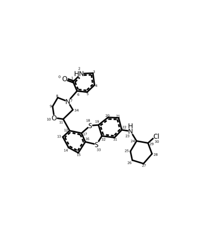 O=c1[nH]cccc1N1CCOC(c2cccc3c2Sc2ccc(NC4CCCCC4Cl)cc2S3)C1